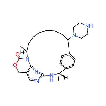 C[C@@H]1Nc2ncc3c(n2)N(C(=O)OC3)[C@@H](C)CCCCCCC(N2CCNCC2)c2ccc1cc2